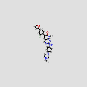 CCn1c(=O)c(-c2ccc(C3CCCO3)cc2Cl)cc2cnc(Nc3ccc(N4CCN(C)CC4)cc3)nc21